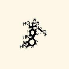 COCCN1C(=O)C(CO)(COC)c2cc3[nH]c4c(c3cc21)CCCc1c[nH]nc1-4